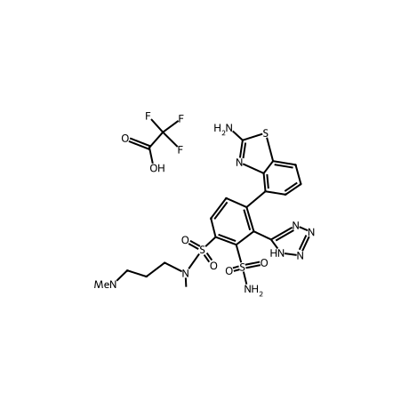 CNCCCN(C)S(=O)(=O)c1ccc(-c2cccc3sc(N)nc23)c(-c2nnn[nH]2)c1S(N)(=O)=O.O=C(O)C(F)(F)F